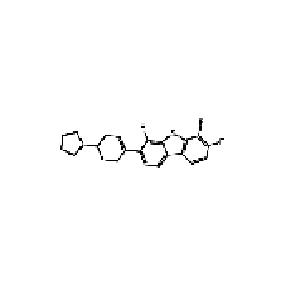 Fc1ccc2c(sc3c(F)c(C4=CCC(C5CCCC5)CC4)ccc32)c1F